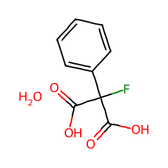 O.O=C(O)C(F)(C(=O)O)c1ccccc1